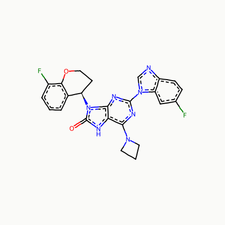 O=c1[nH]c2c(N3CCC3)nc(-n3cnc4ccc(F)cc43)nc2n1[C@@H]1CCOc2c(F)cccc21